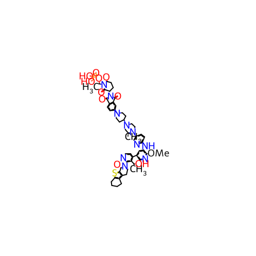 COc1ncc(-c2ccnc(N3CCc4c(sc5c4CCCC5)C3=O)c2C(C)O)cc1Nc1ccc(N2CCN(C3CCN(c4ccc5c(c4)C(=O)N([C@H]4CCC(=O)N(C(C)OP(=O)(O)O)C4=O)C5=O)CC3)C[C@@H]2C)cn1